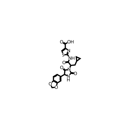 O=C(O)c1csc(NC(=O)C(CC2CC2)N2C(=O)NC(c3ccc4c(c3)OCO4)C2=O)n1